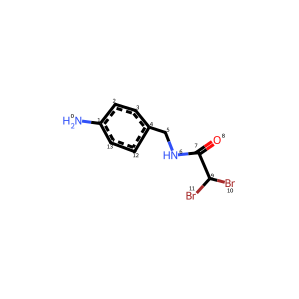 Nc1ccc(CNC(=O)C(Br)Br)cc1